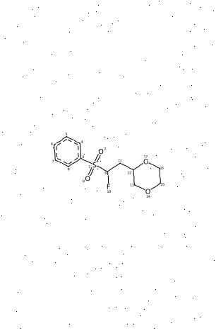 O=S(=O)(c1ccccc1)C(F)CC1COCCO1